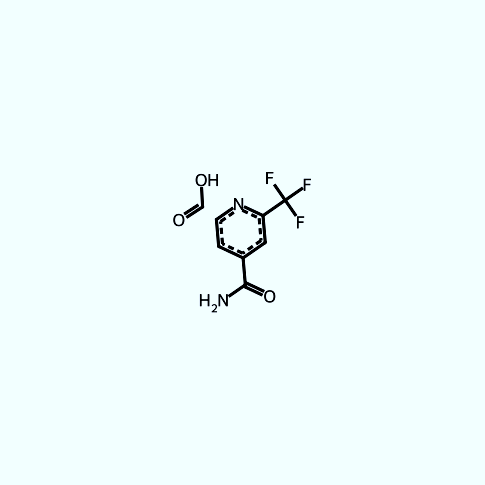 NC(=O)c1ccnc(C(F)(F)F)c1.O=CO